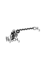 CCCCCCCCCCCCc1ccc(NC(=O)C2(NC(=O)OC(C)(C)C)CC2)cc1